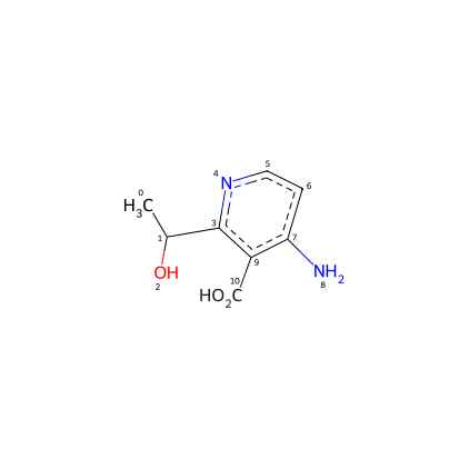 CC(O)c1nccc(N)c1C(=O)O